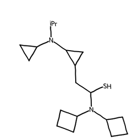 CC(C)N(C1CC1)C1CC1CC(S)N(C1CCC1)C1CCC1